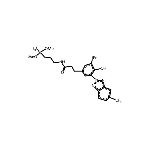 CO[Si](C)(CCCNC(=O)CCc1cc(C(C)C)c(O)c(-n2nc3ccc(C(F)(F)F)cc3n2)c1)OC